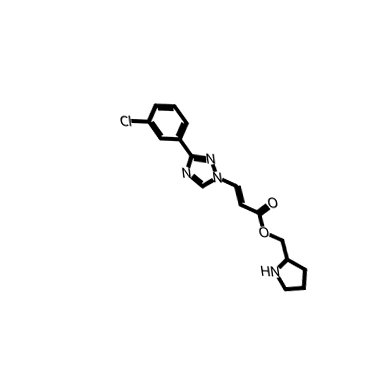 O=C(C=Cn1cnc(-c2cccc(Cl)c2)n1)OCC1CCCN1